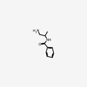 CC(CN)NC(=O)c1ccccc1